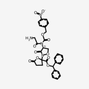 NCC(=O)N(C(=O)OCc1ccc([N+](=O)[O-])cc1)[C@H]1CON(C2(C(=O)OC(c3ccccc3)c3ccccc3)CCC(=O)O2)C1=O